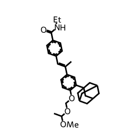 CCNC(=O)c1ccc(/C=C(\C)c2ccc(OCOC(C)OC)c(C34CC5CC(CC(C5)C3)C4)c2)cc1